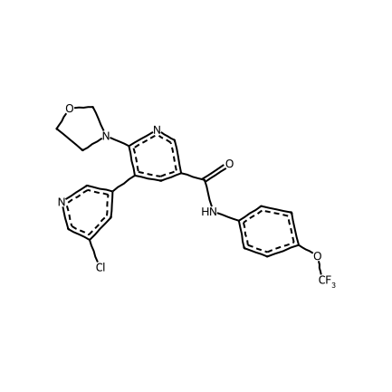 O=C(Nc1ccc(OC(F)(F)F)cc1)c1cnc(N2CCOC2)c(-c2cncc(Cl)c2)c1